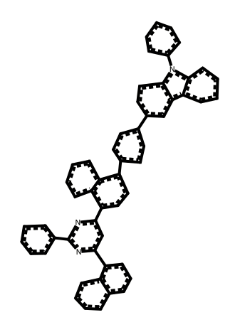 c1ccc(-c2nc(-c3cccc4ccccc34)cc(-c3ccc(-c4ccc(-c5ccc6c(c5)c5ccccc5n6-c5ccccc5)cc4)c4ccccc34)n2)cc1